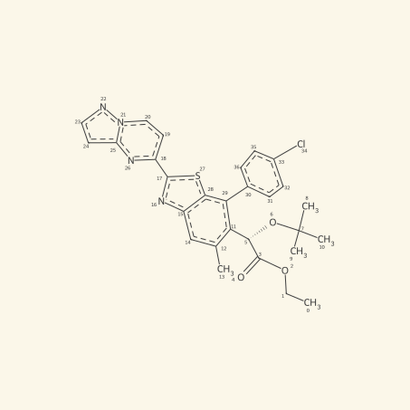 CCOC(=O)[C@@H](OC(C)(C)C)c1c(C)cc2nc(-c3ccn4nccc4n3)sc2c1-c1ccc(Cl)cc1